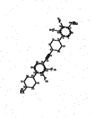 CCCCc1ccc(C2CCC(C#Cc3ccc(C4CCC(CC)CC4)c(F)c3F)CC2)c(F)c1F